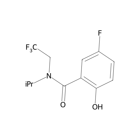 CC(C)N(CC(F)(F)F)C(=O)c1cc(F)ccc1O